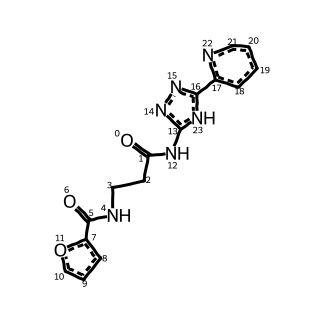 O=C(CCNC(=O)c1ccco1)Nc1nnc(-c2ccccn2)[nH]1